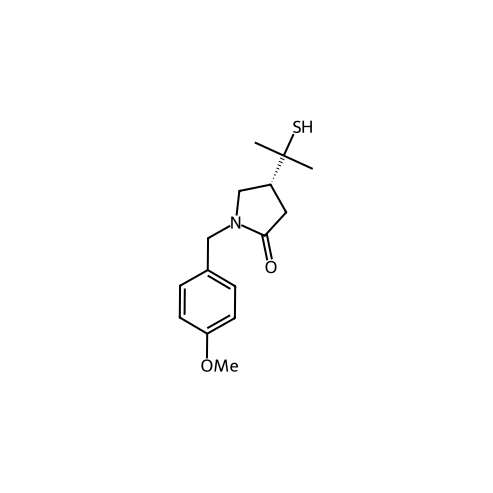 COc1ccc(CN2C[C@H](C(C)(C)S)CC2=O)cc1